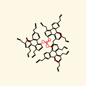 C=CCc1ccc(-c2c(CC=C)ccc(OP(Oc3ccc(CC=C)c(-c4ccc(CC=C)cc4CC=C)c3-c3ccc(CC=C)cc3CC=C)Oc3ccc(CC=C)c(-c4ccc(CC=C)cc4CC=C)c3-c3ccc(CC=C)cc3CC=C)c2-c2ccc(CC=C)cc2CC=C)c(CC=C)c1